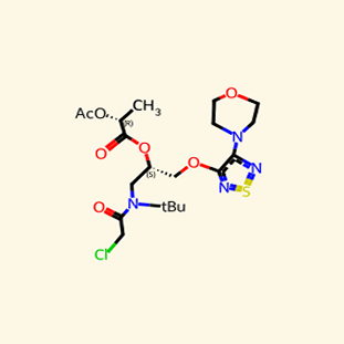 CC(=O)O[C@H](C)C(=O)O[C@H](COc1nsnc1N1CCOCC1)CN(C(=O)CCl)C(C)(C)C